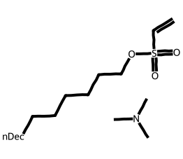 C=CS(=O)(=O)OCCCCCCCCCCCCCCCC.CN(C)C